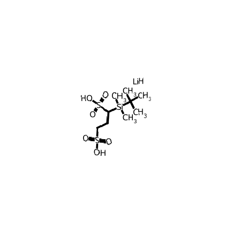 CC(C)(C)[Si](C)(C)C(CCS(=O)(=O)O)S(=O)(=O)O.[LiH]